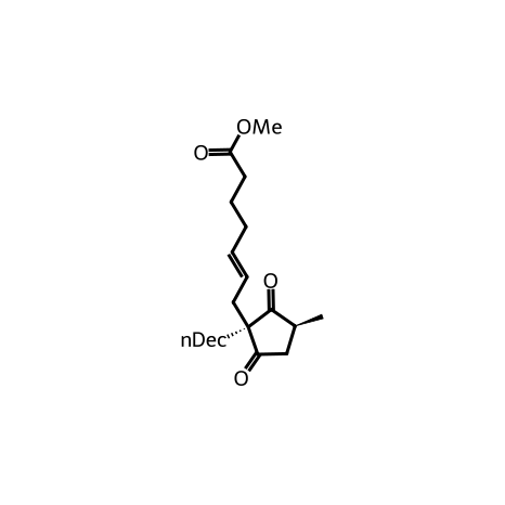 CCCCCCCCCC[C@@]1(CC=CCCCC(=O)OC)C(=O)C[C@H](C)C1=O